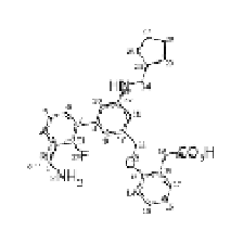 C[C@@H](N)c1cccc(-c2cc(COc3ccccc3CC(=O)O)cc(NCC3CCCC3)c2)c1F